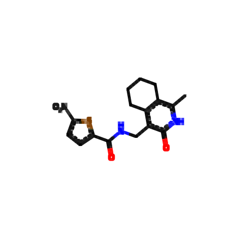 Cc1[nH]c(=O)c(CNC(=O)c2ccc([N+](=O)[O-])s2)c2c1CCCC2